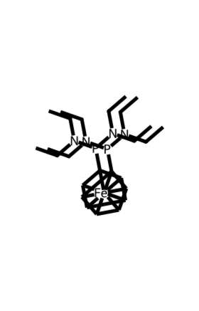 CCN(CC)P(N(CC)CC)[C]12[CH]3[CH]4[CH]5[CH]1[Fe]45321678[CH]2[CH]1[CH]6[C]7(P(N(CC)CC)N(CC)CC)[CH]28